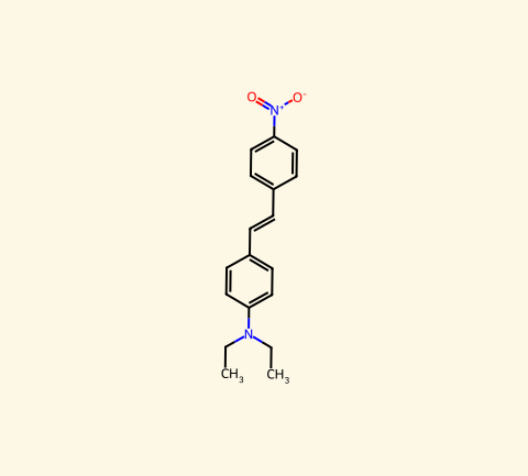 CCN(CC)c1ccc(C=Cc2ccc([N+](=O)[O-])cc2)cc1